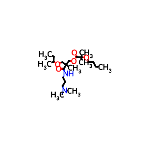 CCCCOC(C)(C)C(=O)OCC(C)(COC(C)CC)C(=O)NCCCN(C)C